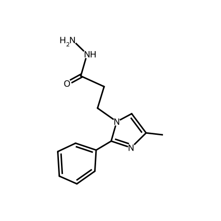 Cc1cn(CCC(=O)NN)c(-c2ccccc2)n1